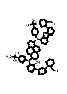 CCc1ccccc1-c1cccc(-c2cccc(N(c3ccc(C(C)(C)C)cc3)c3ccc4ccc5c(N(c6ccc(C(C)(C)C)cc6)c6cccc7c6oc6c(-c8ccccc8CC)cccc67)ccc6ccc3c4c65)c2O)c1